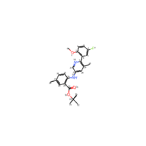 COc1ccc(F)cc1-c1ncc(Nc2ccc(C)cc2C(=O)OC(C)(C)C)cc1C